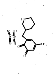 CC1=CC(=O)C(=O)C(CC2CCCNC2)=C1.[N-]=[N+]=N.[N-]=[N+]=[N-]